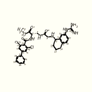 COC(=O)[C@H](CNC(=O)CNC1CCCc2ccc(NC(=N)N)cc21)NC(=O)c1c(Cl)cc(-c2ccccc2)cc1Cl